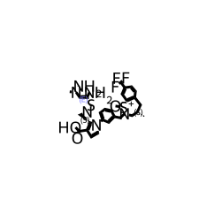 C[C@H]1Cc2ccc(C(F)(F)F)cc2[S+]([O-])N(Cc2cccc(-n3ccc(C(=O)O)c3[C@@H]3CN3S/C(N)=C/N(C)N)c2)C1